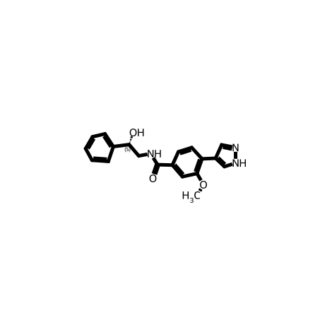 COc1cc(C(=O)NC[C@@H](O)c2ccccc2)ccc1-c1cn[nH]c1